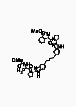 COO/C=N\[C@@H](C(=O)N1CCC[C@H]1c1nc2cc(CCCCc3ccc4[nH]c([C@@H]5CCCN5C(=O)[C@@H](P)NC(=O)OC)nc4c3)ccc2[nH]1)c1ccccc1